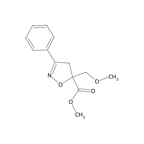 COCC1(C(=O)OC)CC(c2ccccc2)=NO1